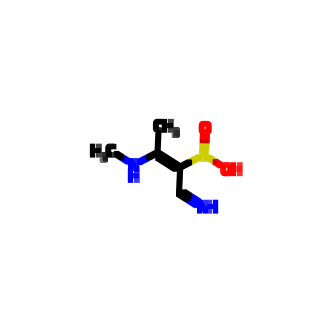 CN/C(C)=C(\C=N)S(=O)O